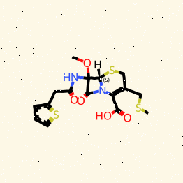 COC1(NC(=O)Cc2cccs2)C(=O)N2C(C(=O)O)=C(CSC)CS[C@H]21